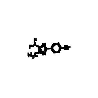 Cn1nc(-c2ccc(Br)cc2)nc1C(F)F